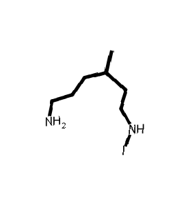 CC(CCCN)CCNI